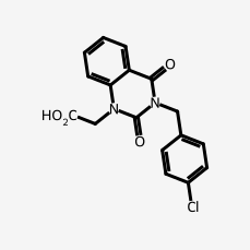 O=C(O)Cn1c(=O)n(Cc2ccc(Cl)cc2)c(=O)c2ccccc21